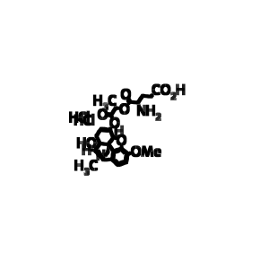 COc1ccc2c3c1O[C@H]1C(OC(=O)[C@H](C)OC(=O)[C@@H](N)CCC(=O)O)=CC[C@@]4(O)[C@@H](C2)N(C)CC[C@]314.Cl.Cl